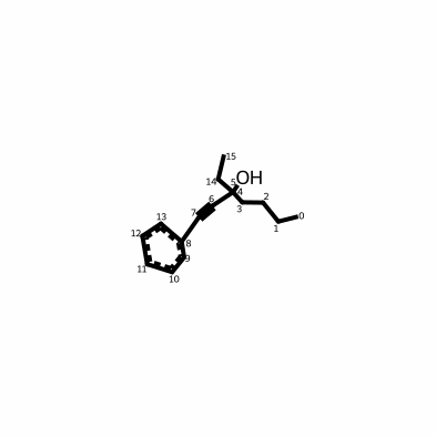 CCCCC(O)(C#Cc1ccccc1)CC